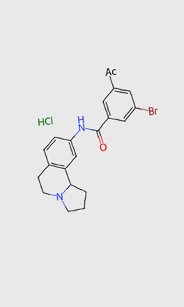 CC(=O)c1cc(Br)cc(C(=O)Nc2ccc3c(c2)C2CCCN2CC3)c1.Cl